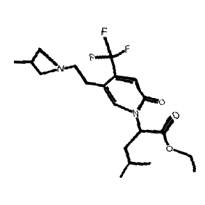 CCOC(=O)C(CC(C)C)n1cc(CCN2CC(C)C2)c(C(F)(F)F)cc1=O